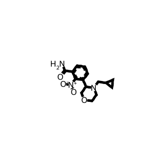 NC(=O)c1cccc(C2COCCN2CC2CC2)c1[N+](=O)[O-]